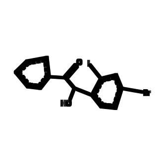 O=C(c1ccccc1)C(O)c1ccc(Br)cc1I